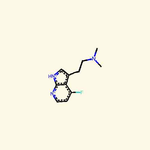 CN(C)CCc1c[nH]c2nccc(F)c12